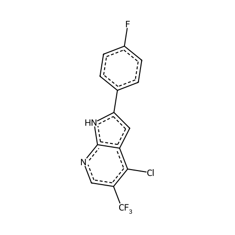 Fc1ccc(-c2cc3c(Cl)c(C(F)(F)F)cnc3[nH]2)cc1